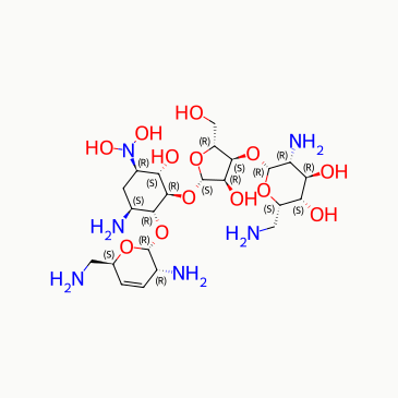 NC[C@@H]1O[C@H](O[C@H]2[C@@H](O)[C@H](O[C@@H]3[C@@H](O)[C@H](N(O)O)C[C@H](N)[C@H]3O[C@H]3O[C@H](CN)C=C[C@H]3N)O[C@@H]2CO)[C@H](N)[C@@H](O)[C@@H]1O